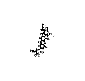 CC1(C)CNC(C(N)=O)c2[nH]c3ccc(Oc4c(Cl)cc(-n5nc(C#N)c(=O)[nH]c5=O)cc4Cl)cc3c21